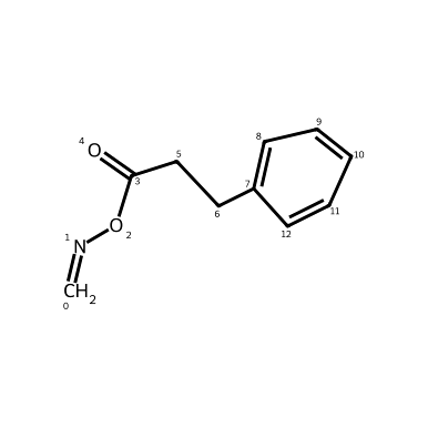 C=NOC(=O)CCc1ccccc1